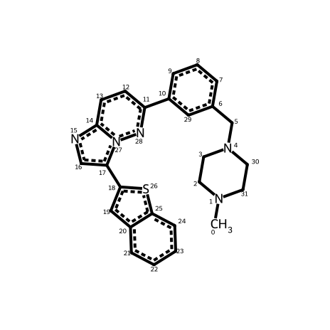 CN1CCN(Cc2cccc(-c3ccc4ncc(-c5cc6ccccc6s5)n4n3)c2)CC1